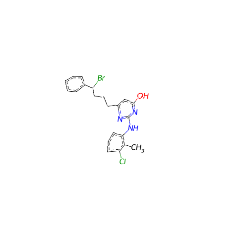 Cc1c(Cl)cccc1Nc1nc(O)cc(CCCC(Br)c2ccccc2)n1